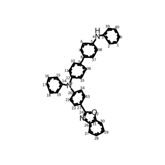 c1ccc(Nc2ccc(-c3ccc(N(c4ccccc4)c4ccc(-c5nc6ccccc6o5)cc4)cc3)cc2)cc1